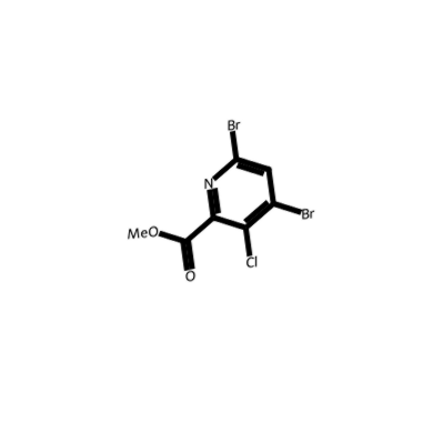 COC(=O)c1nc(Br)cc(Br)c1Cl